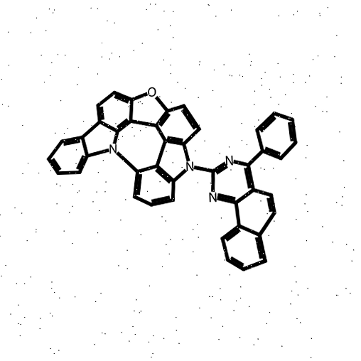 c1ccc(-c2nc(-n3c4ccc5oc6ccc7c8ccccc8n8c9cccc3c9c4c5c6c78)nc3c2ccc2ccccc23)cc1